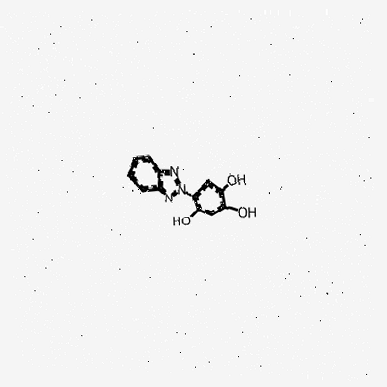 Oc1cc(O)c(-n2nc3ccccc3n2)cc1O